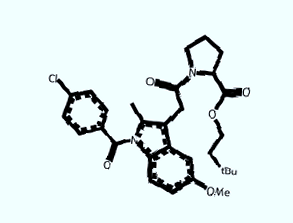 COc1ccc2c(c1)c(CC(=O)N1CCCC1C(=O)OCCC(C)(C)C)c(C)n2C(=O)c1ccc(Cl)cc1